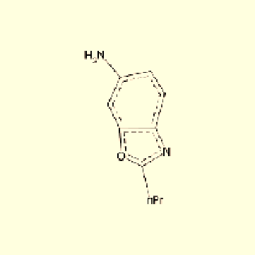 CCCc1nc2ccc(N)cc2o1